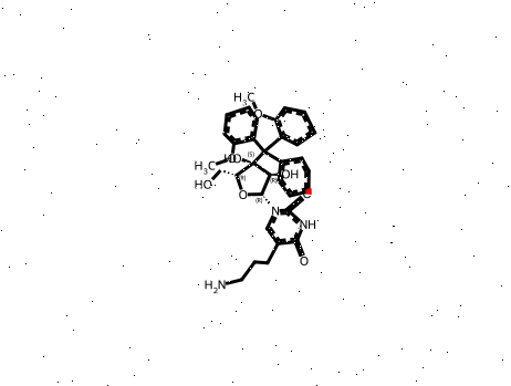 COc1ccccc1C(c1ccccc1)(c1ccccc1OC)[C@@]1(O)[C@@H](CO)O[C@@H](n2cc(CCCN)c(=O)[nH]c2=O)[C@@H]1O